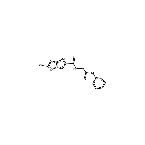 O=C(CNC(=O)c1cc2sc(Cl)cc2[nH]1)Nc1ccccc1